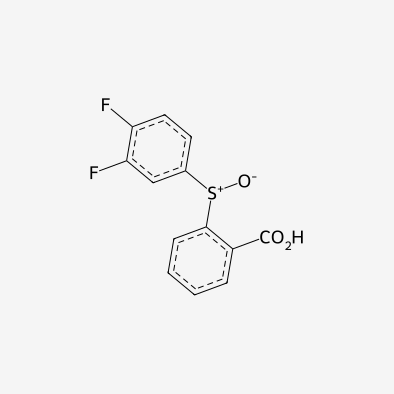 O=C(O)c1ccccc1[S+]([O-])c1ccc(F)c(F)c1